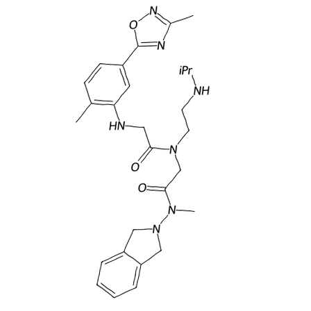 Cc1noc(-c2ccc(C)c(NCC(=O)N(CCNC(C)C)CC(=O)N(C)N3Cc4ccccc4C3)c2)n1